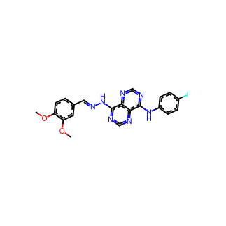 COc1ccc(C=NNc2ncnc3c(Nc4ccc(F)cc4)ncnc23)cc1OC